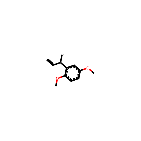 [CH2]C(C=C)c1cc(OC)ccc1OC